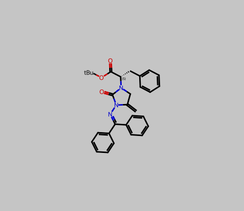 C=C1CN([C@@H](Cc2ccccc2)C(=O)OC(C)(C)C)C(=O)N1N=C(c1ccccc1)c1ccccc1